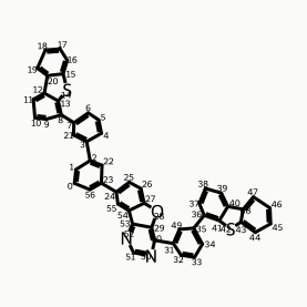 c1cc(-c2cccc(-c3cccc4c3sc3ccccc34)c2)cc(-c2ccc3oc4c(-c5cccc(-c6cccc7c6sc6ccccc67)c5)ncnc4c3c2)c1